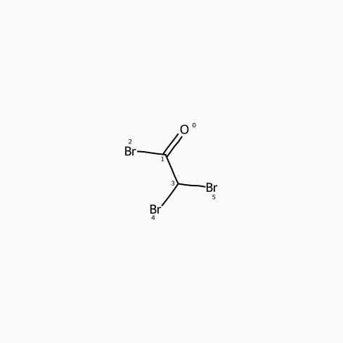 O=C(Br)C(Br)Br